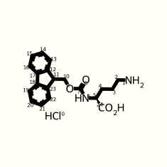 Cl.NCCC[C@H](NC(=O)OCC1c2ccccc2-c2ccccc21)C(=O)O